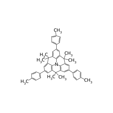 Cc1ccc(-c2cc3c4c(c2)C(C)(C)c2cc(-c5ccc(C)cc5)cc5c2N4c2c(cc(-c4ccc(C)cc4)cc2C5(C)C)C3(C)C)cc1